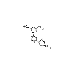 Bc1ccc(-c2cc(-c3cc(C)cc(C#C)c3)ncn2)nc1